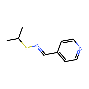 CC(C)SN=Cc1ccncc1